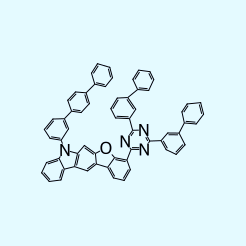 c1ccc(-c2ccc(-c3cccc(-n4c5ccccc5c5cc6c(cc54)oc4c(-c5nc(-c7cccc(-c8ccccc8)c7)nc(-c7cccc(-c8ccccc8)c7)n5)cccc46)c3)cc2)cc1